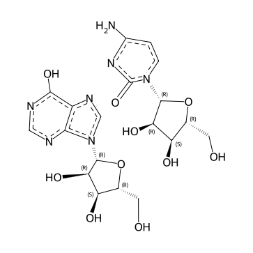 Nc1ccn([C@@H]2O[C@H](CO)[C@@H](O)[C@H]2O)c(=O)n1.OC[C@H]1O[C@@H](n2cnc3c(O)ncnc32)[C@H](O)[C@@H]1O